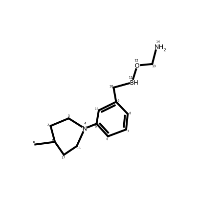 CC1CCN(c2cccc(CBOCN)c2)CC1